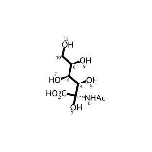 CC(=O)N[C@](O)(C(=O)O)[C@H](O)[C@@H](O)[C@H](O)CO